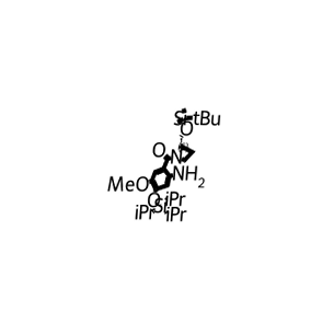 COc1cc(C(=O)N2CC[C@H]2CO[Si](C)(C)C(C)(C)C)c(N)cc1O[Si](C(C)C)(C(C)C)C(C)C